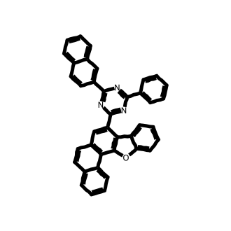 c1ccc(-c2nc(-c3ccc4ccccc4c3)nc(-c3cc4ccc5ccccc5c4c4oc5ccccc5c34)n2)cc1